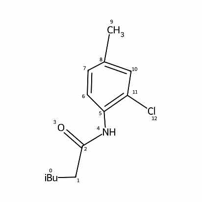 CCC(C)CC(=O)Nc1ccc(C)cc1Cl